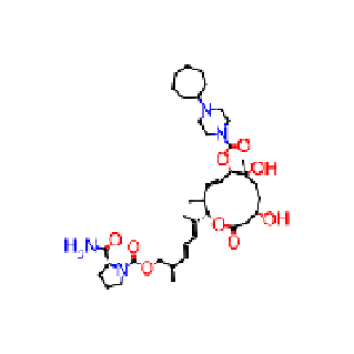 C/C(=C\C=C\[C@@H](C)COC(=O)N1CCC[C@H]1C(N)=O)[C@H]1OC(=O)C[C@H](O)CC[C@@](C)(O)[C@@H](OC(=O)N2CCN(C3CCCCCC3)CC2)/C=C/[C@@H]1C